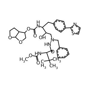 COC(=O)NC(C(=O)NN(Cc1ccccc1)CC(O)C(Cc1ccc(-c2nccs2)cc1)NC(=O)OC1COC2OCCC12)C(C)(C)C